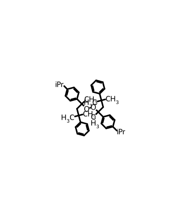 CC(C)c1ccc(C(C)(CC(C)(C)c2ccccc2)OOC(C)(CC(C)(C)c2ccccc2)c2ccc(C(C)C)cc2)cc1